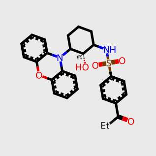 CCC(=O)c1ccc(S(=O)(=O)NC2CCCC(N3c4ccccc4Oc4ccccc43)[C@H]2O)cc1